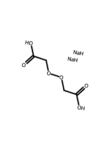 O=C(O)COOCC(=O)O.[NaH].[NaH]